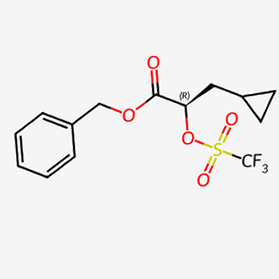 O=C(OCc1ccccc1)[C@@H](CC1CC1)OS(=O)(=O)C(F)(F)F